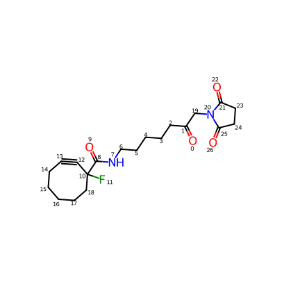 O=C(CCCCCNC(=O)C1(F)C#CCCCCC1)CN1C(=O)CCC1=O